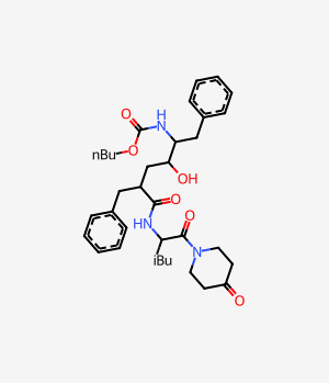 CCCCOC(=O)NC(Cc1ccccc1)C(O)CC(Cc1ccccc1)C(=O)NC(C(=O)N1CCC(=O)CC1)C(C)CC